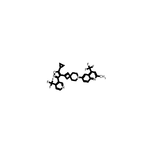 Cc1cc(C(F)(F)F)c2cc(N3CCC4(C=C(c5c(-c6cnccc6C(F)(F)F)noc5C5CC5)C4)CC3)ccc2n1